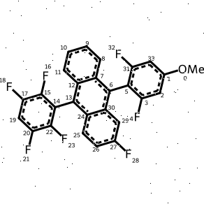 COc1cc(F)c(-c2c3ccccc3c(-c3c(F)c(F)cc(F)c3F)c3ccc(F)cc23)c(F)c1